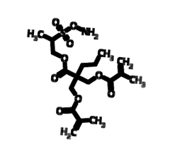 C=C(C)C(=O)OCC(CCC)(COC(=O)C(=C)C)C(=O)OCC(C)S(=O)(=O)ON